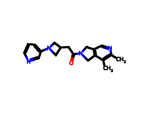 Cc1ncc2c(c1C)CN(C(=O)CC1CN(c3cccnc3)C1)C2